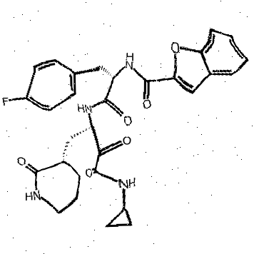 O=C(NC1CC1)C(=O)[C@H](C[C@@H]1CCCNC1=O)NC(=O)[C@H](Cc1ccc(F)cc1)NC(=O)c1cc2ccccc2o1